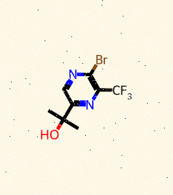 CC(C)(O)c1cnc(Br)c(C(F)(F)F)n1